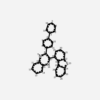 c1ccc(-c2ccc(-c3nc4ccccc4nc3-c3cccc4sc5ccccc5c34)cc2)cc1